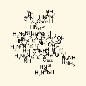 CN[C@@H](CO)C(=O)C(=O)[C@H](CCCNC(=N)N)NC(=O)[C@H](CCCNC(=N)N)NC(=O)C(CCCNC(=N)N)NC(=O)[C@H](CCCNC(=N)N)NC(=O)C(CCCNC(=N)N)NC(=O)[C@H](CCCNC(=N)N)NC(=O)CNC(C)=O